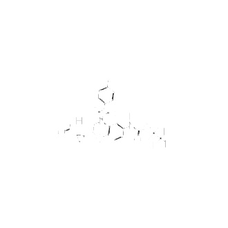 Cc1ccc(S(=O)(=O)N2CC([C@@H]3C[C@@H]3C(=O)O)Oc3ccc(NC(=O)OC(C)(C)C(F)(F)F)cc32)cc1